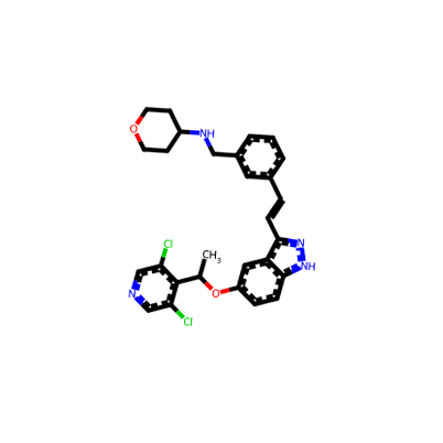 CC(Oc1ccc2[nH]nc(/C=C/c3cccc(CNC4CCOCC4)c3)c2c1)c1c(Cl)cncc1Cl